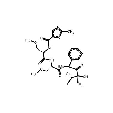 COC[C@H](NC(=O)c1cnc(C)s1)C(=O)N[C@@H](COC)C(=O)[AsH][C@](C)(C(=O)[C@](C)(O)CI)c1ccccc1